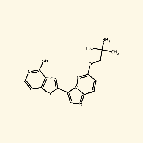 CC(C)(N)COc1ccc2ncc(-c3cc4c(O)nccc4o3)n2n1